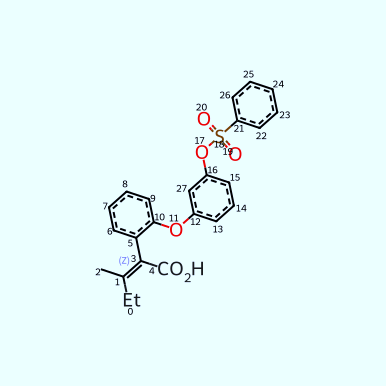 CC/C(C)=C(\C(=O)O)c1ccccc1Oc1cccc(OS(=O)(=O)c2ccccc2)c1